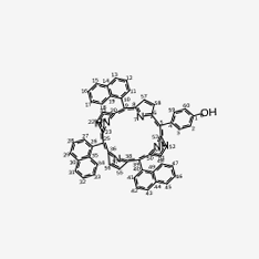 Oc1ccc(-c2c3nc(c(-c4cccc5ccccc45)c4ccc([nH]4)c(-c4cccc5ccccc45)c4nc(c(-c5cccc6ccccc56)c5ccc2[nH]5)C=C4)C=C3)cc1